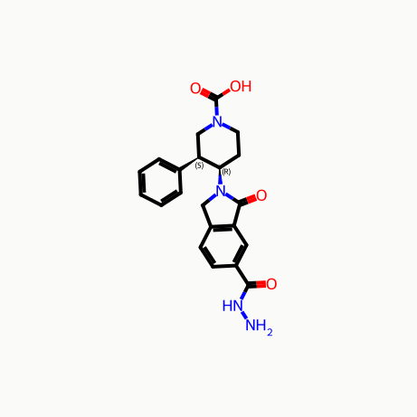 NNC(=O)c1ccc2c(c1)C(=O)N([C@@H]1CCN(C(=O)O)C[C@@H]1c1ccccc1)C2